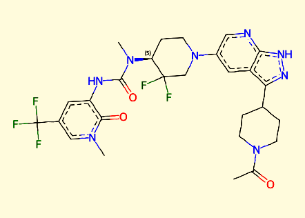 CC(=O)N1CCC(c2n[nH]c3ncc(N4CC[C@H](N(C)C(=O)Nc5cc(C(F)(F)F)cn(C)c5=O)C(F)(F)C4)cc23)CC1